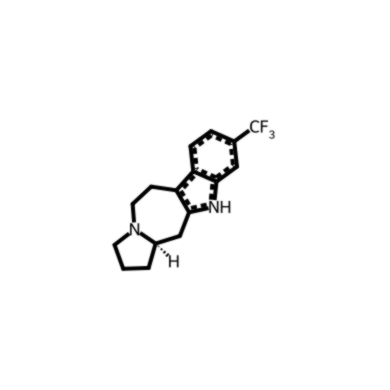 FC(F)(F)c1ccc2c3c([nH]c2c1)C[C@H]1CCCN1CC3